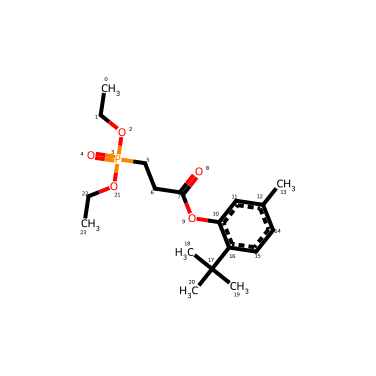 CCOP(=O)(CCC(=O)Oc1cc(C)ccc1C(C)(C)C)OCC